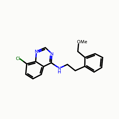 COCc1ccccc1CCNc1ncnc2c(Cl)cccc12